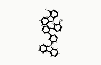 N#Cc1cccc(-c2ccccc2-c2cccc(-n3c4ccccc4c4ccccc43)c2)c1-n1c2ccccc2c2c(C#N)cccc21